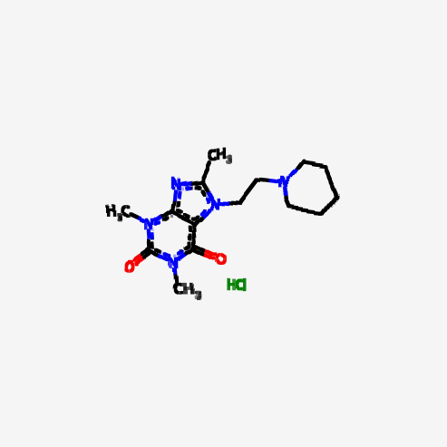 Cc1nc2c(c(=O)n(C)c(=O)n2C)n1CCN1CCCCC1.Cl